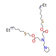 CC/C=C\CCCCSCCOC(=O)CCN(CCC(=O)OCCSCCCC/C=C\CC)CCN1CCCC1